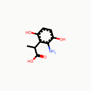 CC(C(=O)O)c1c(O)ccc(O)c1N